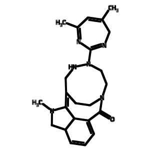 CC1=CC(C)=NC(N2CCN3CC/C(=C4\C5C(=CC=CC5CN4C)C3=O)CN2)=NC1